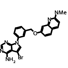 CNc1ccc2ccc(OCc3cccc(-n4cc(Br)c5c(N)ncnc54)c3)cc2n1